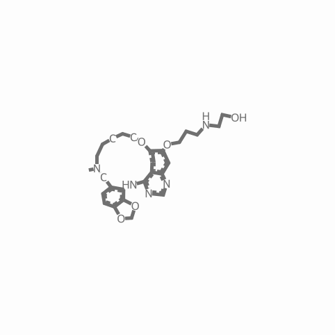 CN1CCCCCOc2cc3c(ncnc3cc2OCCCNCCO)Nc2c(ccc3c2OCO3)C1